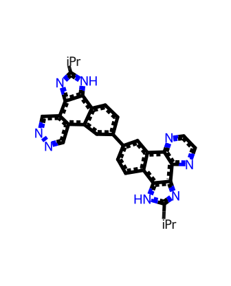 CC(C)c1nc2c3cnncc3c3cc(-c4ccc5c(c4)c4nccnc4c4nc(C(C)C)[nH]c54)ccc3c2[nH]1